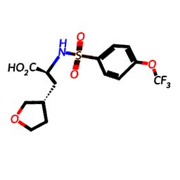 O=C(O)[C@H](C[C@@H]1CCOC1)NS(=O)(=O)c1ccc(OC(F)(F)F)cc1